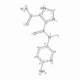 CN(C(=O)c1nc[nH]c1C(N)=O)c1ccc(N)nc1